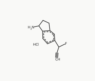 C#CC(F)c1ccc2c(c1)CCC2N.Cl